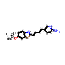 CC(C)(C)[Si](C)(C)Oc1ccc2nc(/C=C/C=C/c3ccc(N)nc3)sc2c1